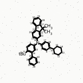 CC(C)(C)c1ccc(N(c2ccc(C3CCCCC3)cc2)c2ccc3c(c2)C(C)(C)c2ccccc2-3)cc1-c1ccccc1